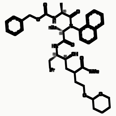 CCCC[C@@H](C(=O)N[C@@H](CC(C)C)[C@@H](O)CC(CCOC1CCCCO1)C(=O)NC)N(C(=O)[C@H](C)NC(=O)OCc1ccccc1)c1cccc2ccccc12